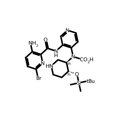 CC(C)(C)[Si](C)(C)O[C@@H]1CCNC[C@H]1N(C(=O)O)c1ccncc1NC(=O)c1nc(Br)ccc1N